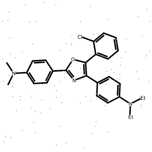 CCN(CC)c1ccc(-c2nc(-c3ccc(N(C)C)cc3)oc2-c2ccccc2Cl)cc1